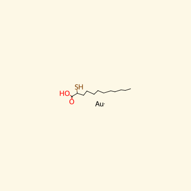 CCCCCCCCCCC(S)C(=O)O.[Au]